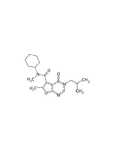 Cc1oc2ncn(CC(C)C)c(=O)c2c1C(=O)N(C)C1CCCCC1